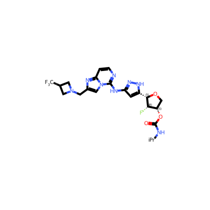 CC(C)NC(=O)O[C@H]1CO[C@@H](c2cc(Nc3nccc4nc(CN5CC(C(F)(F)F)C5)cn34)n[nH]2)[C@H]1F